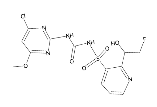 COc1cc(Cl)nc(NC(=O)NS(=O)(=O)c2cccnc2C(O)CF)n1